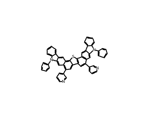 c1ccc(-n2c3ccccc3c3cc4c(cc32)c(-c2cccnc2)cc2c3cc(-c5cccnc5)c5cc6c(cc5c3sc42)c2ccccc2n6-c2ccccc2)cc1